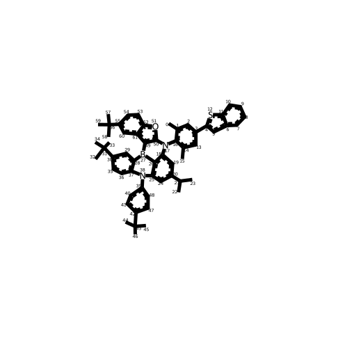 Cc1cc(-c2cc3ccccc3s2)cc(C)c1N1c2cc(C(C)C)cc3c2B(c2cc(C(C)(C)C)ccc2N3c2ccc(C(C)(C)C)cc2)c2c1oc1ccc(C(C)(C)C)cc21